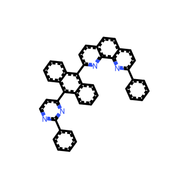 c1ccc(-c2ccc3ccc4ccc(-c5c6ccccc6c(-c6ccnc(-c7ccccc7)n6)c6ccccc56)nc4c3n2)cc1